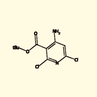 CC(C)(C)OC(=O)c1c(N)cc(Cl)nc1Cl